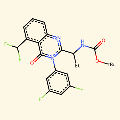 CCC(NC(=O)OC(C)(C)C)c1nc2cccc(C(F)F)c2c(=O)n1-c1cc(F)cc(F)c1